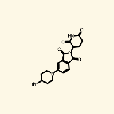 CCCC1CCN(c2ccc3c(c2)C(=O)N(C2CCC(=O)NC2=O)C3=O)CC1